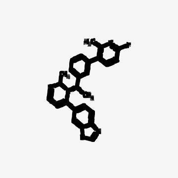 Cc1nc(F)ccc1-c1cccc(C(C)N2C(c3ccc4ncsc4c3)=CC=NC2C)c1